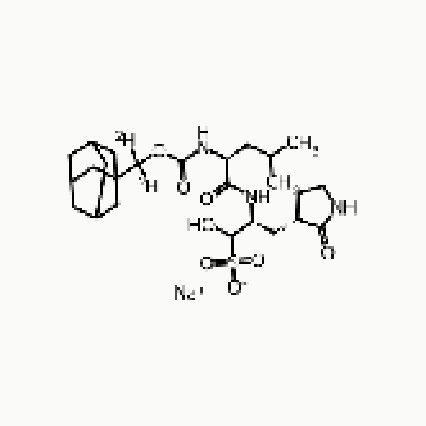 [2H]C([2H])(OC(=O)N[C@@H](CC(C)C)C(=O)N[C@@H](C[C@@H]1CCNC1=O)C(O)S(=O)(=O)[O-])C12CC3CC(CC(C3)C1)C2.[Na+]